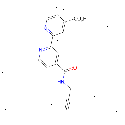 C#CCNC(=O)c1ccnc(-c2cc(C(=O)O)ccn2)c1